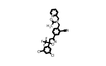 CC(=O)N(Cc1ccccn1)Cc1ccc(C2=NOC(c3cc(Cl)cc(Cl)c3)(C(F)(F)F)C2)cc1C#N